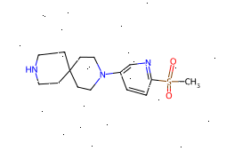 CS(=O)(=O)c1ccc(N2CCC3(CCNCC3)CC2)cn1